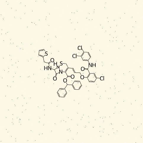 O=C(Cc1cccs1)NC1C(=O)N2C(C(=O)OC(c3ccccc3)c3ccccc3)=C(C=CCOc3ccc(Cl)cc3C(=O)Nc3ccc(Cl)c(Cl)c3)CS[C@@H]12